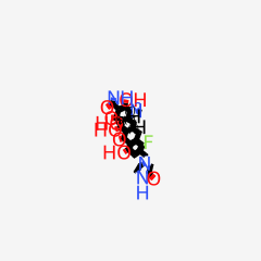 CN(C)[C@@H]1C(O)=C(C(N)=O)C(=O)[C@@]2(O)C(O)=C3C(=O)c4c(O)cc(CN5CCNC(=O)C5)c(F)c4C[C@H]3C[C@@H]12